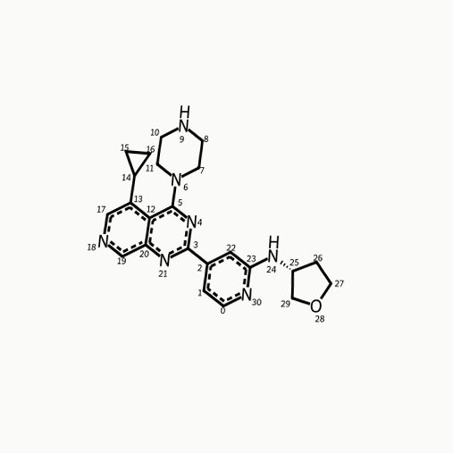 c1cc(-c2nc(N3CCNCC3)c3c(C4CC4)cncc3n2)cc(N[C@@H]2CCOC2)n1